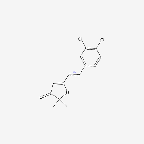 CC1(C)OC(/C=C/c2ccc(Cl)c(Cl)c2)=CC1=O